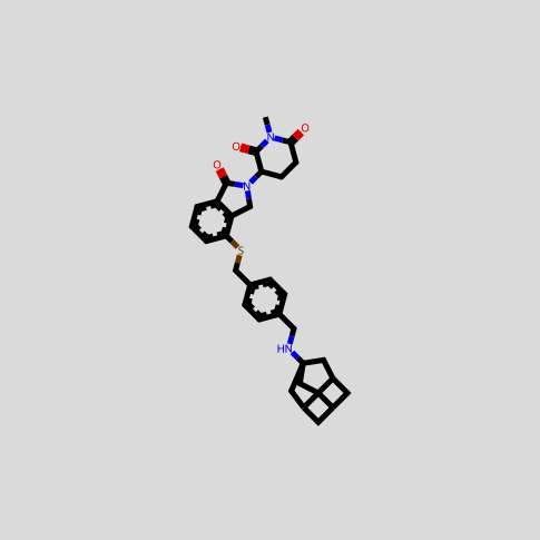 CN1C(=O)CCC(N2Cc3c(SCc4ccc(CNC56CC7CC8CC(C5)C87C6)cc4)cccc3C2=O)C1=O